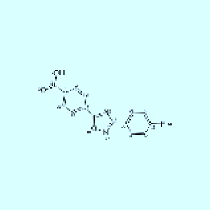 O=C(O)c1ccc(-c2nc(-c3ccc(F)cc3)no2)cc1